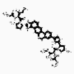 CCC(C)[C@H](NC(=O)OC)C(=O)N1[C@@H](C)CC[C@H]1c1nc2ccc3cc4c(cc3c2[nH]1)OCc1cc(-c2cnc(C3C[C@H](C)CN3C(=O)[C@@H](NC(=O)OC)[C@@H](C)OC)[nH]2)ccc1-4